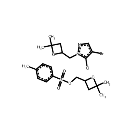 CC1(C)CC(Cn2ncc(Br)c2Cl)O1.Cc1ccc(S(=O)(=O)OCC2CC(C)(C)O2)cc1